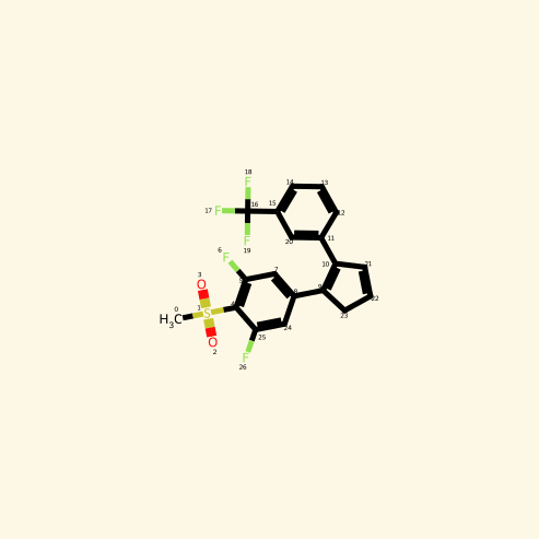 CS(=O)(=O)c1c(F)cc(C2=C(c3cccc(C(F)(F)F)c3)C=CC2)cc1F